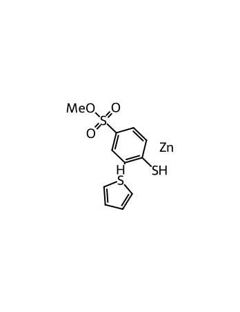 COS(=O)(=O)c1ccc(S)c([SH]2C=CC=C2)c1.[Zn]